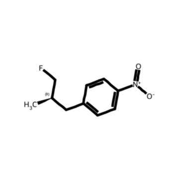 C[C@@H](CF)Cc1ccc([N+](=O)[O-])cc1